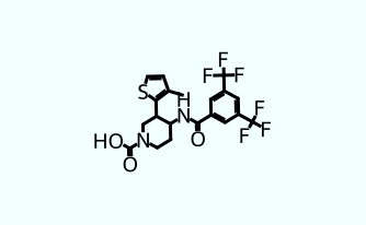 Cc1ccsc1C1CN(C(=O)O)CCC1NC(=O)c1cc(C(F)(F)F)cc(C(F)(F)F)c1